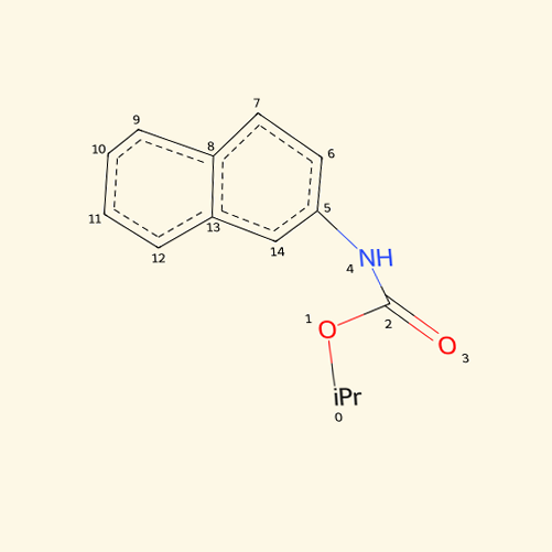 CC(C)OC(=O)Nc1ccc2ccccc2c1